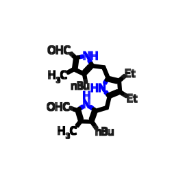 CCCCc1c(Cc2[nH]c(Cc3[nH]c(C=O)c(C)c3CCCC)c(CC)c2CC)[nH]c(C=O)c1C